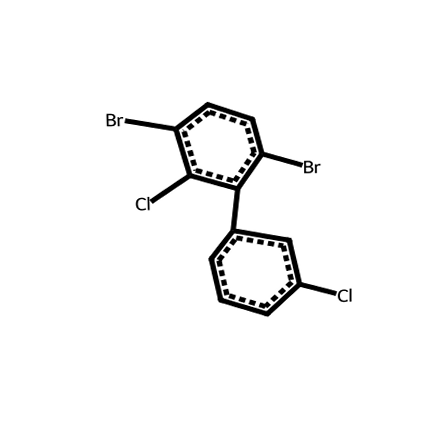 Clc1cccc(-c2c(Br)ccc(Br)c2Cl)c1